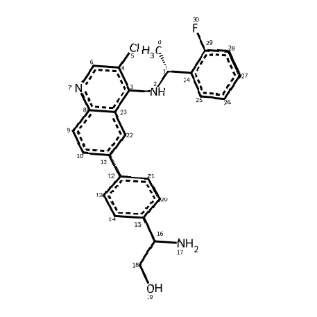 C[C@@H](Nc1c(Cl)cnc2ccc(-c3ccc(C(N)CO)cc3)cc12)c1ccccc1F